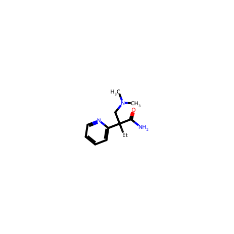 CCC(CN(C)C)(C(N)=O)c1ccccn1